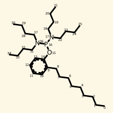 CCCCCCCCCc1ccccc1OP(N(CCCC)CCCC)N(CCCC)CCCC